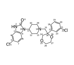 O=c1[nH]c2cc(Cl)ccc2n1C1CCN(CC2(c3cccc(Cl)c3)COCCO2)CC1